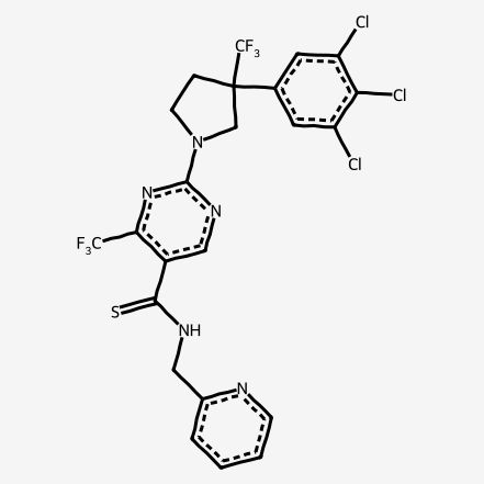 FC(F)(F)c1nc(N2CCC(c3cc(Cl)c(Cl)c(Cl)c3)(C(F)(F)F)C2)ncc1C(=S)NCc1ccccn1